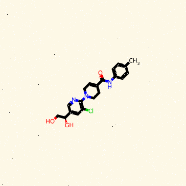 Cc1ccc(NC(=O)C2=CCN(c3ncc([C@@H](O)CO)cc3Cl)CC2)cc1